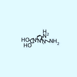 CN(CCN)c1nc(N2CC(O)C(O)C2)ccc1N